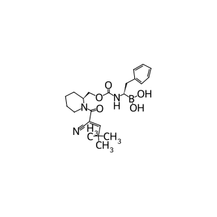 CC(C)(C)/C=C(\C#N)C(=O)N1CCCC[C@H]1COC(=O)N[C@@H](Cc1ccccc1)B(O)O